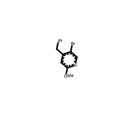 COc1cc(CC(C)C)c(Br)cn1